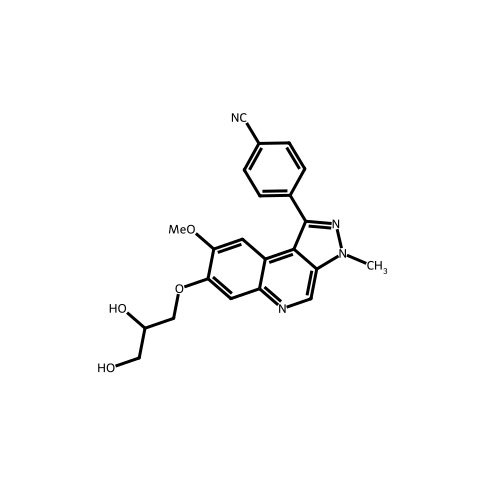 COc1cc2c(cc1OCC(O)CO)ncc1c2c(-c2ccc(C#N)cc2)nn1C